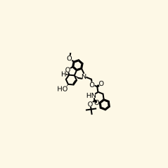 COc1ccc2c3c1O[C@H]1C[C@@H](O)C=C[C@@]31CCN(COC(=O)C(Cc1ccccc1)NC(=O)OC(C)(C)C)C2